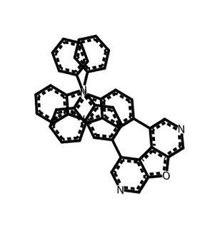 c1ccc(-n2c3ccccc3c3cc(-c4cncc5oc6cncc(-c7ccc8c(c7)c7ccccc7n8-c7ccccc7)c6c45)ccc32)cc1